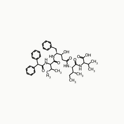 CC[C@H](C)[C@H](NC(=O)C[C@H](O)[C@H](Cc1ccccc1)NC(=O)C(NC(=O)C(c1ccccc1)c1ccccc1)C(C)C)C(=O)NC(C(=O)O)C(C)C